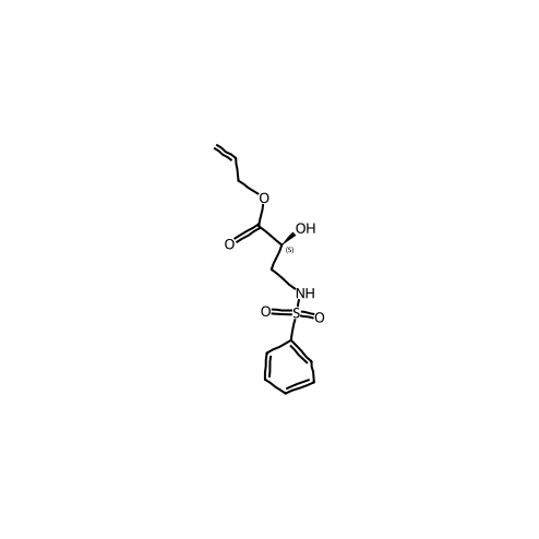 C=CCOC(=O)[C@@H](O)CNS(=O)(=O)c1ccccc1